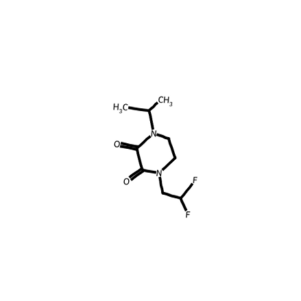 CC(C)N1CCN(CC(F)F)C(=O)C1=O